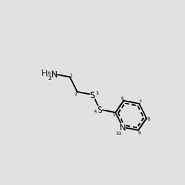 NCCSSc1ccccn1